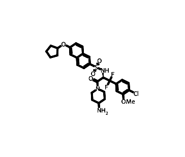 COc1cc(C(F)(F)[C@H](NS(=O)(=O)c2ccc3cc(OC4CCCC4)ccc3c2)C(=O)N2CCC(N)CC2)ccc1Cl